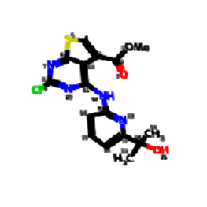 COC(=O)c1csc2nc(Cl)nc(Nc3cccc(C(C)(C)O)n3)c12